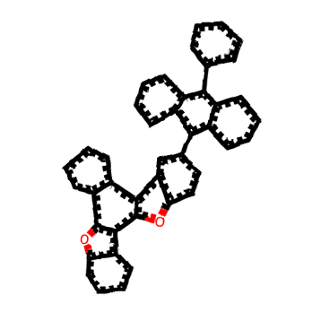 c1ccc(-c2c3ccccc3c(-c3ccc4oc5c(c4c3)c3ccccc3c3oc4ccccc4c35)c3ccccc23)cc1